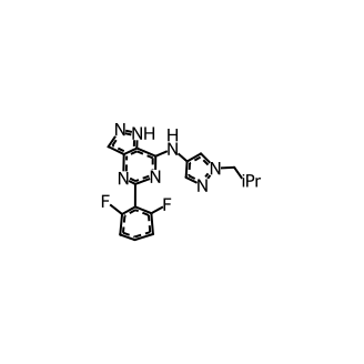 CC(C)Cn1cc(Nc2nc(-c3c(F)cccc3F)nc3cn[nH]c23)cn1